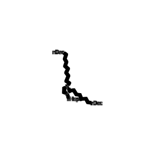 CCCCCCCCCCCCCCCCCCCN1C=CN(CCCCCCC)C1CCCCCCCCCCCCCCCC